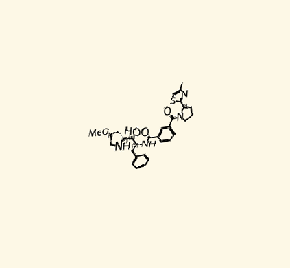 CO[C@H]1CN[C@@H]([C@H](O)[C@H](Cc2ccccc2)NC(=O)c2cccc(C(=O)N3CCC[C@@H]3c3nc(C)cs3)c2)C1